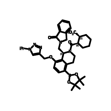 CC(C)n1cc(COc2ccc(B3OC(C)(C)C(C)(C)O3)c3c2[C@@H](CN2Cc4ccccc4C2=O)N(C(=O)[C@@H]2CCCC[C@@H]2C(=O)O)CC3)nn1